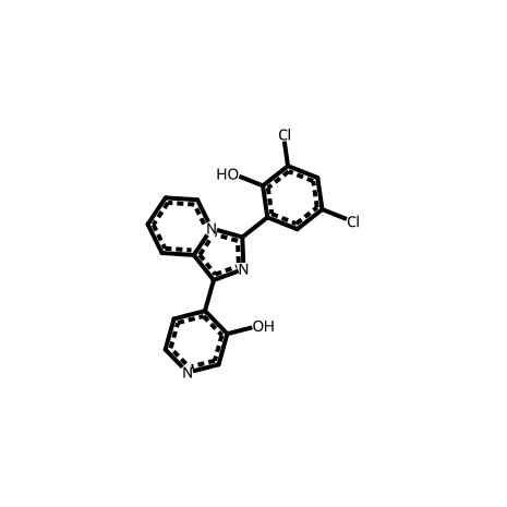 Oc1cnccc1-c1nc(-c2cc(Cl)cc(Cl)c2O)n2ccccc12